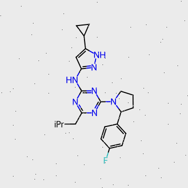 CC(C)Cc1nc(Nc2cc(C3CC3)[nH]n2)nc(N2CCCC2c2ccc(F)cc2)n1